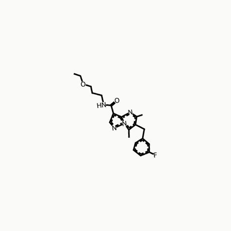 CCOCCCNC(=O)c1cnn2c(C)c(Cc3cccc(F)c3)c(C)nc12